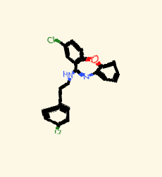 Clc1ccc(CCNC2=Nc3ccccc3Oc3ccc(Cl)cc32)cc1